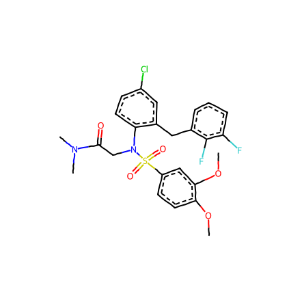 COc1ccc(S(=O)(=O)N(CC(=O)N(C)C)c2ccc(Cl)cc2Cc2cccc(F)c2F)cc1OC